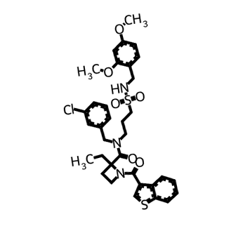 CCC1(C(=O)N(CCCS(=O)(=O)NCc2ccc(OC)cc2OC)Cc2cccc(Cl)c2)CCN1C(=O)c1csc2ccccc12